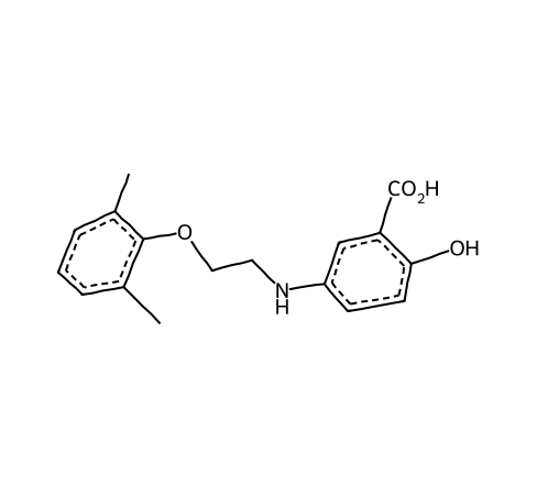 Cc1cccc(C)c1OCCNc1ccc(O)c(C(=O)O)c1